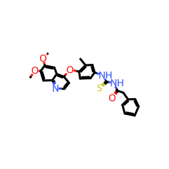 COc1cc2nccc(Oc3ccc(NC(=S)NC(=O)Cc4ccccc4)cc3C)c2cc1OC